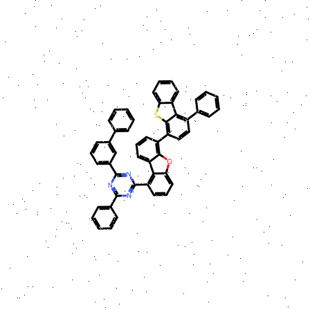 c1ccc(-c2cccc(-c3nc(-c4ccccc4)nc(-c4cccc5oc6c(-c7ccc(-c8ccccc8)c8c7sc7ccccc78)cccc6c45)n3)c2)cc1